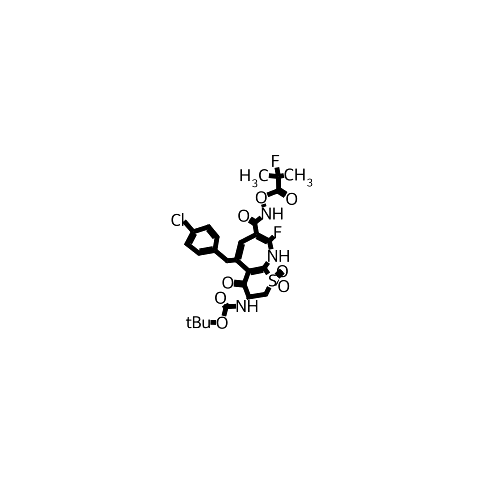 CC(C)(C)OC(=O)N[C@H]1CS(=O)(=O)C2=C(C1=O)C(Cc1ccc(Cl)cc1)=CC(C(=O)NOC(=O)C(C)(C)F)=C(F)N2